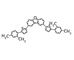 Cc1ccc(-c2ccc(-c3ccc4oc5ccc(-c6ccc(-c7ccc(C)cc7C)s6)cc5c4c3)s2)c(C)c1